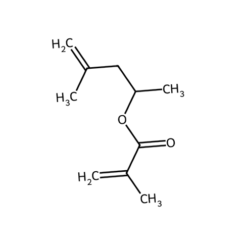 C=C(C)CC(C)OC(=O)C(=C)C